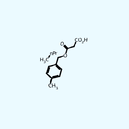 CCCC.Cc1ccc(COC(=O)CC(=O)O)cc1